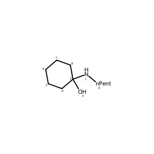 CCCCCNC1(O)CCCCC1